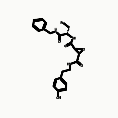 CC(C)C[C@H](NC(=O)C1OC1C(=O)NCCc1ccc(O)cc1)C(=O)NCc1ccccc1